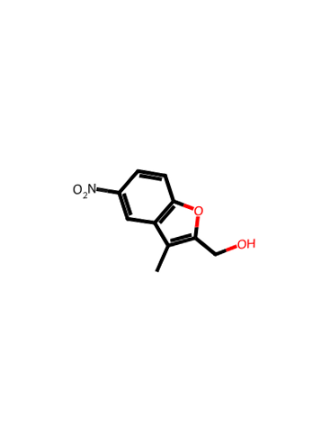 Cc1c(CO)oc2ccc([N+](=O)[O-])cc12